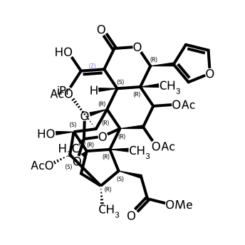 COC(=O)C[C@H]1[C@@]2(C)C[C@@]34O[C@]5(C)O[C@]6([C@@H]7/C(=C(/O)C(C)C)C(=O)O[C@@H](c8ccoc8)[C@]7(C)C(OC(C)=O)C(OC(C)=O)[C@]6(O5)[C@]13C)[C@H](OC(C)=O)[C@@]4(O)[C@H]2OC(C)=O